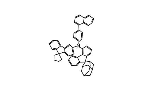 c1ccc2c(c1)-c1cc(N(c3ccc(-c4cccc5ccccc45)cc3)c3cccc4c3-c3ccccc3C43C4CCC5CC(C4)CC3C5)ccc1C21CCCC1